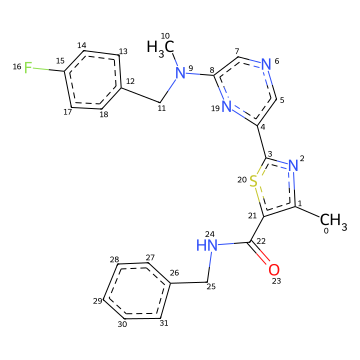 Cc1nc(-c2cncc(N(C)Cc3ccc(F)cc3)n2)sc1C(=O)NCc1ccccc1